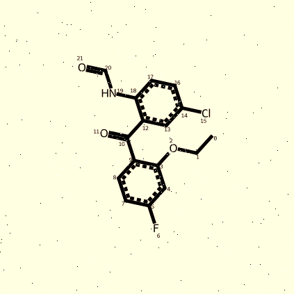 CCOc1cc(F)ccc1C(=O)c1cc(Cl)ccc1NC=O